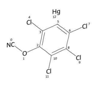 N#COc1c(Cl)cc(Cl)c(Cl)c1Cl.[Hg]